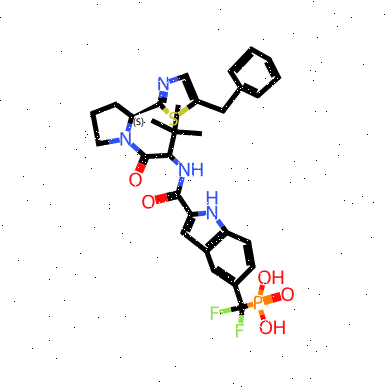 CC(C)(C)C(NC(=O)c1cc2cc(C(F)(F)P(=O)(O)O)ccc2[nH]1)C(=O)N1CCC[C@H]1c1ncc(Cc2ccccc2)s1